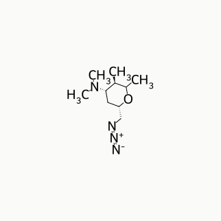 CC1O[C@H](CN=[N+]=[N-])C[C@H](N(C)C)[C@H]1C